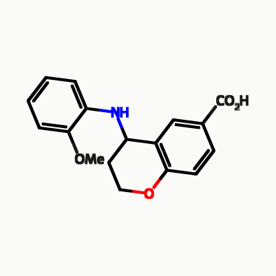 COc1ccccc1NC1CCOc2ccc(C(=O)O)cc21